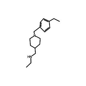 CCNCC1CCN(Cc2ccc(CC)cc2)CC1